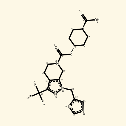 O=C(C[C@H]1CC[C@H](C(=O)O)CC1)N1CCc2c(C(F)(F)F)nn(Cc3cncs3)c2C1